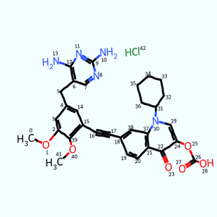 COc1cc(Cc2cnc(N)nc2N)cc(C#Cc2ccc3c(=O)c(OC(=O)O)cn(C4CCCCC4)c3c2)c1OC.Cl